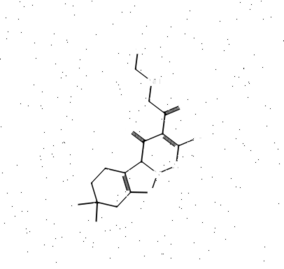 CC1(C)CCC2=C(C1)SN1NC(O)=C(C(=O)CNCC(=O)O)C(=O)C21